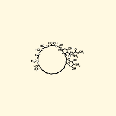 COC(=O)[C@H](N)NC(=O)C1[C@@H]2CC(O[C@@H]3OC[C@@H](O)[C@H](N)[C@@H]3O)/C=C/C=C/C=C/C=C/C=C/C=C/C=C/[C@H](C)[C@@H](O)C[C@H](C)OC(=O)C[C@H](O)CC(O)CCC(O)C(O)CC(O)CC(O)(C[C@@H]1O)O2